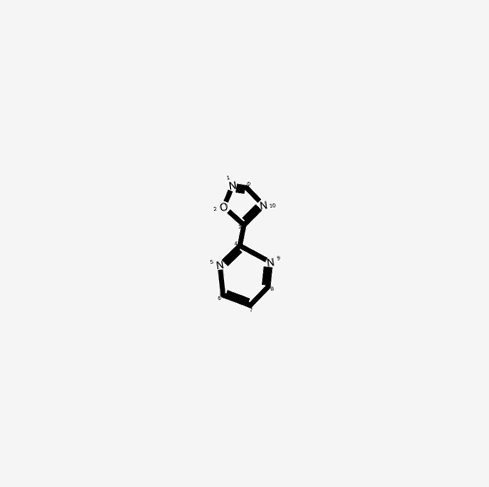 [c]1noc(-c2ncccn2)n1